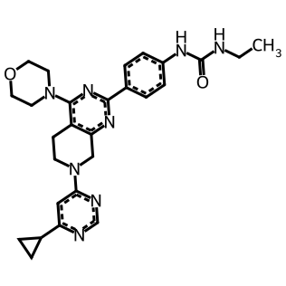 CCNC(=O)Nc1ccc(-c2nc3c(c(N4CCOCC4)n2)CCN(c2cc(C4CC4)ncn2)C3)cc1